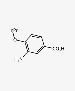 CCCOc1ccc(C(=O)O)cc1N